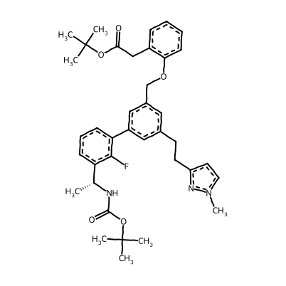 C[C@@H](NC(=O)OC(C)(C)C)c1cccc(-c2cc(CCc3ccn(C)n3)cc(COc3ccccc3CC(=O)OC(C)(C)C)c2)c1F